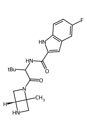 CC(C)(C)C(NC(=O)c1cc2cc(F)ccc2[nH]1)C(=O)N1C[C@H]2NCC21C